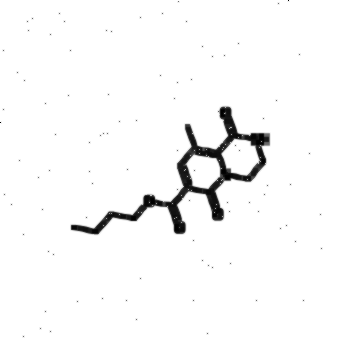 CCCCOC(=O)c1cc(C)c2n(c1=O)CCNC2=O